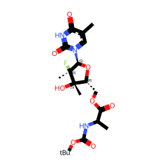 Cc1cn([C@H]2O[C@H](COC(=O)C(C)NC(=O)OC(C)(C)C)[C@](C)(O)[C@@]2(C)F)c(=O)[nH]c1=O